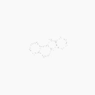 c1ccc2c(c1)[nH]c1c3cccnc3ccc21